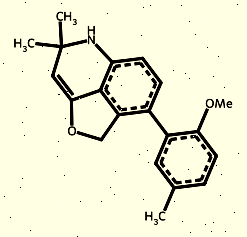 COc1ccc(C)cc1-c1ccc2c3c1COC3=CC(C)(C)N2